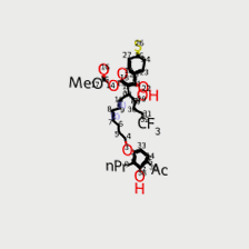 CCCc1c(OCCC/C=C\C=C\[C@@H](c2c(OC(=O)OC)oc3c(c2=O)=CCC(=S)C=3)[C@H](O)CCC(F)(F)F)ccc(C(C)=O)c1O